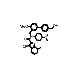 COc1ccc(-c2ccc(CO)cc2)cc1CN(C(=O)c1sc2c(c1Cl)C=CCC2C)[C@H]1CC[C@H](N(C)C)CC1